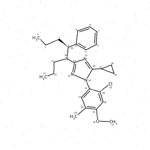 CCC[C@@H](c1ccccc1)N(CCC)c1nc(C2CC2)n(-c2cc(C)c(OC)cc2Cl)n1